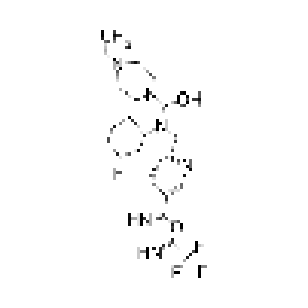 CCN1CCN(C(O)N(Cc2ccc(C(=N)OC(=N)C(F)(F)F)cn2)C2CCCC(F)C2)CC1